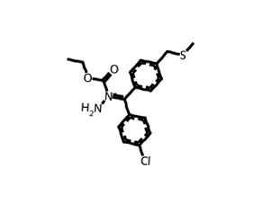 CCOC(=O)[N+](N)=C(c1ccc(Cl)cc1)c1ccc(CSC)cc1